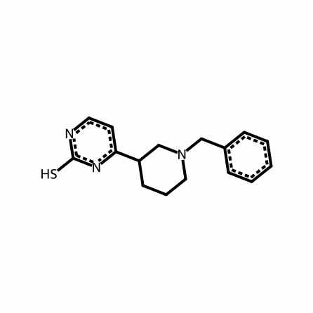 Sc1nccc(C2CCCN(Cc3ccccc3)C2)n1